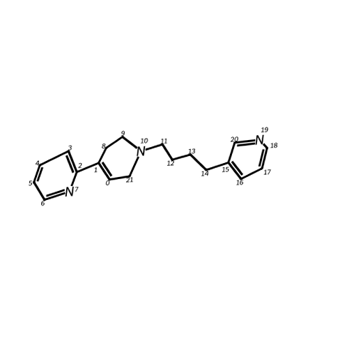 C1=C(c2ccccn2)CCN(CCCCc2cccnc2)C1